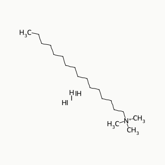 CCCCCCCCCCCCCCCC[N+](C)(C)C.I.I.I